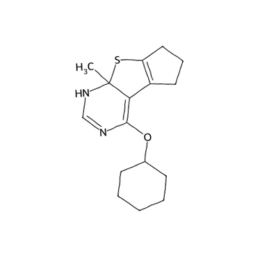 CC12NC=NC(OC3CCCCC3)=C1C1=C(CCC1)S2